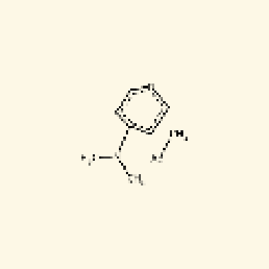 CC(C)=O.CN(C)c1ccncc1